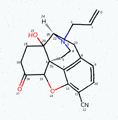 C=CCN1CC[C@]23c4c5ccc(C#N)c4OC2C(=O)CCC3(O)[C@H]1C5